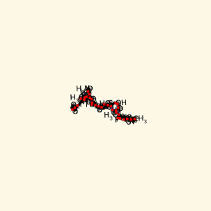 C/C(=C\c1cc(F)cc(N2CCN(S(=O)(=O)c3cn(C)cn3)CC2)c1)[C@H]1OC(=O)C[C@H](O)CC[C@H](C)[C@@H](OC(=O)N2CCN(C(=O)OCc3ccc(NC(=O)[C@H](CCCNC(N)=O)NC(=O)[C@@H](NC(=O)CCCCCN4C(=O)C=CC4=O)C(C)C)cc3)CC2)/C=C/[C@@H]1C